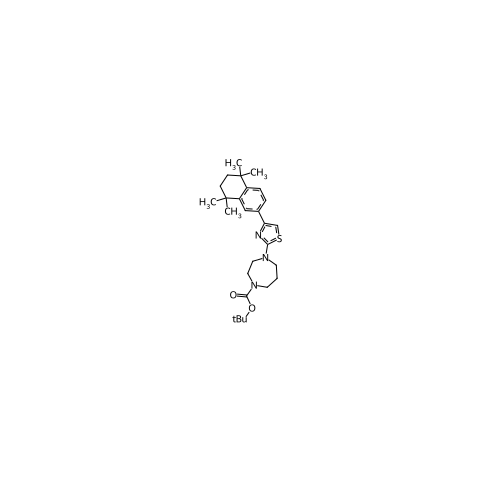 CC(C)(C)OC(=O)N1CCCN(c2nc(-c3ccc4c(c3)C(C)(C)CCC4(C)C)cs2)CC1